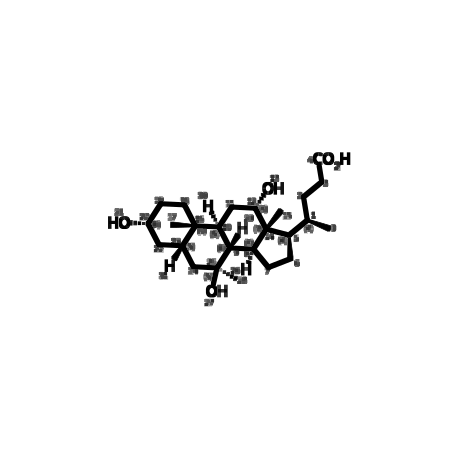 C[C@H](CCC(=O)O)[C@H]1CC[C@H]2[C@H]3[C@H](C[C@H](O)[C@]12C)[C@@]1(C)CC[C@@H](O)C[C@H]1C[C@]3(C)O